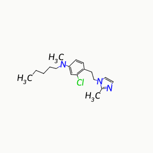 CCCCCN(C)c1ccc(CCn2ccnc2C)c(Cl)c1